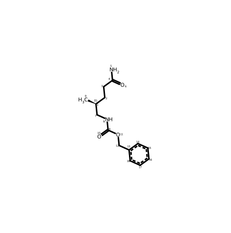 C[C@@H](CCC(N)=O)CNC(=O)OCc1ccccc1